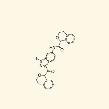 O=C(Nc1ccc2c(c1)c(I)nn2C(=O)C1OCCc2ccccc21)C1OCCc2ccccc21